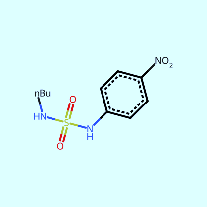 CCCCNS(=O)(=O)Nc1ccc([N+](=O)[O-])cc1